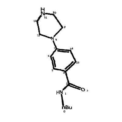 CCCCNC(=O)c1ccc(N2CCNCC2)cc1